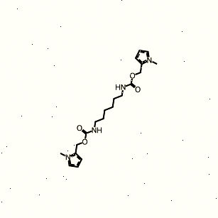 Cn1cccc1COC(=O)NCCCCCCNC(=O)OCc1cccn1C